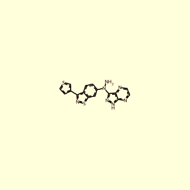 NN(c1ccc2c(-c3ccsc3)nsc2c1)c1n[nH]c2nccnc12